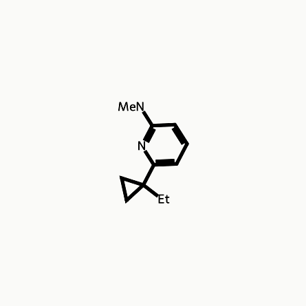 CCC1(c2cccc(NC)n2)CC1